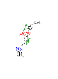 CCCCc1ccc(C(O)OC2CCC(CCCCc3ncc(C)cn3)C(F)(F)C2)c(F)c1F